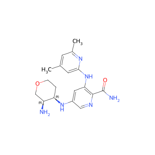 Cc1cc(C)nc(Nc2cc(N[C@@H]3CCOC[C@@H]3N)cnc2C(N)=O)c1